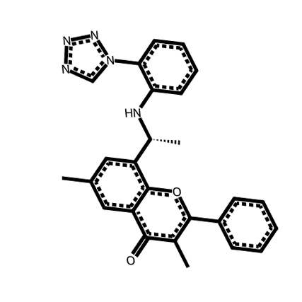 Cc1cc([C@@H](C)Nc2ccccc2-n2cnnn2)c2oc(-c3ccccc3)c(C)c(=O)c2c1